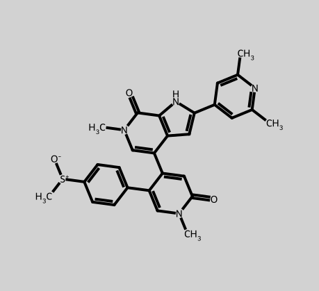 Cc1cc(-c2cc3c(-c4cc(=O)n(C)cc4-c4ccc([S+](C)[O-])cc4)cn(C)c(=O)c3[nH]2)cc(C)n1